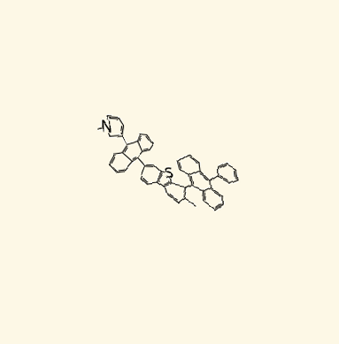 CC1C=Cc2c(sc3cc(-c4c5ccccc5c(C5=CC=CN(C)C5)c5ccccc45)ccc23)C1c1c2ccccc2c(-c2ccccc2)c2ccccc12